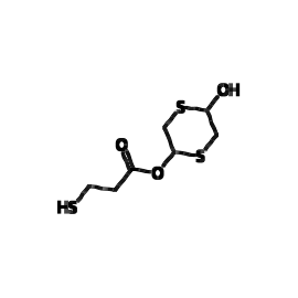 O=C(CCS)OC1CSC(O)CS1